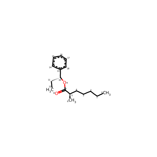 CCCCC[C@@H](C)C(=O)O[C@H](CC)c1ccccc1